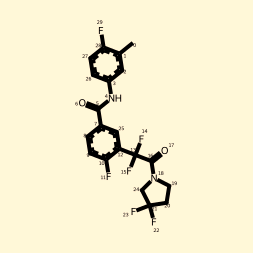 Cc1cc(NC(=O)c2ccc(F)c(C(F)(F)C(=O)N3CCC(F)(F)C3)c2)ccc1F